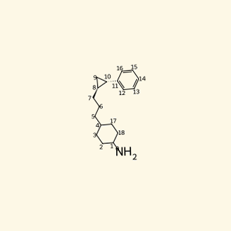 NC1CCC(CCC[C@H]2C[C@@H]2c2ccccc2)CC1